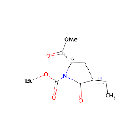 C/C=C1/C[C@@H](C(=O)OC)N(C(=O)OC(C)(C)C)C1=O